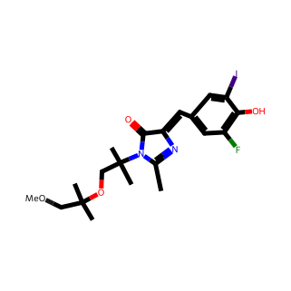 COCC(C)(C)OCC(C)(C)N1C(=O)/C(=C/c2cc(F)c(O)c(I)c2)N=C1C